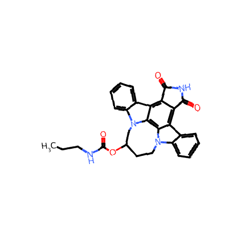 CCCNC(=O)OC1CCn2c3ccccc3c3c4c(c5c6ccccc6n(c5c32)C1)C(=O)NC4=O